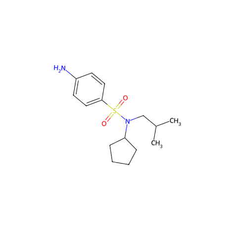 CC(C)CN(C1CCCC1)S(=O)(=O)c1ccc(N)cc1